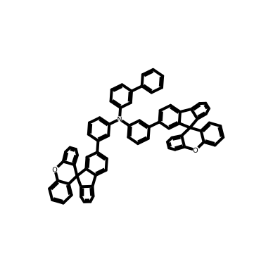 c1ccc(-c2cccc(N(c3cccc(-c4ccc5c(c4)C4(c6ccccc6Oc6ccccc64)c4ccccc4-5)c3)c3cccc(-c4ccc5c(c4)C4(c6ccccc6Oc6ccccc64)c4ccccc4-5)c3)c2)cc1